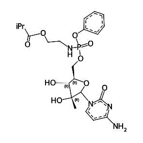 CC(C)C(=O)OCCNP(=O)(OC[C@H]1OC(n2ccc(N)nc2=O)[C@](C)(O)[C@@H]1O)Oc1ccccc1